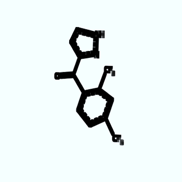 O=C(c1cc[nH]n1)c1ccc(C(F)(F)F)cc1C(F)(F)F